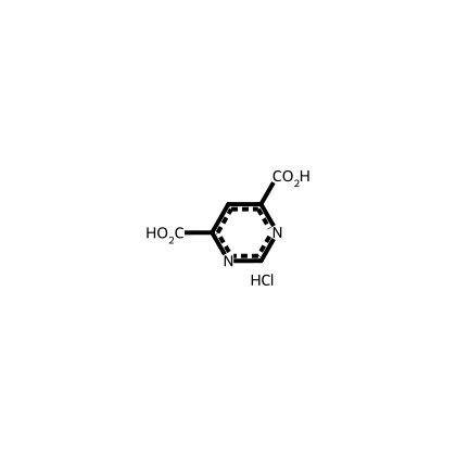 Cl.O=C(O)c1cc(C(=O)O)ncn1